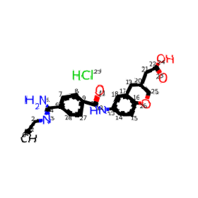 C#CCN=C(N)c1ccc(C(=O)Nc2ccc3c(c2)CC(CC(=O)O)CO3)cc1.Cl